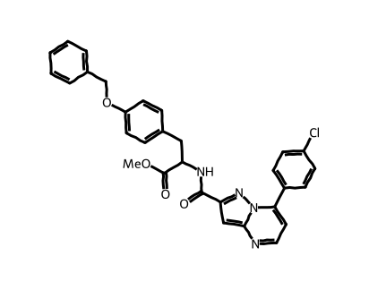 COC(=O)C(Cc1ccc(OCc2ccccc2)cc1)NC(=O)c1cc2nccc(-c3ccc(Cl)cc3)n2n1